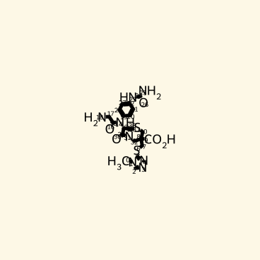 Cn1cnnc1SCC1(C(=O)O)CS[C@@H]2C(N(C(=O)CN)c3ccc(NC(N)=O)cc3)C(=O)N2C1